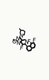 COc1nc(N2CCCC(C)C2)c2cnc(-c3cccc4ccc(F)c(F)c34)c(F)c2n1